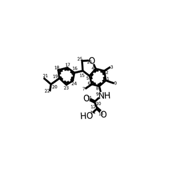 Cc1c(C)c2c(c(C)c1NC(=O)C(=O)O)C(c1ccc(C(C)C)cc1)CO2